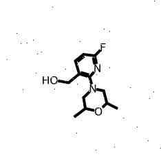 CC1CN(c2nc(F)ccc2CO)CC(C)O1